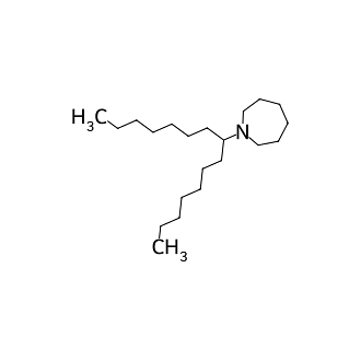 CCCCCCCC(CCCCCCC)N1CCCCCC1